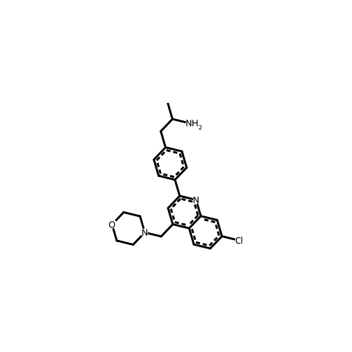 CC(N)Cc1ccc(-c2cc(CN3CCOCC3)c3ccc(Cl)cc3n2)cc1